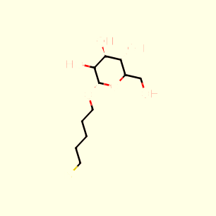 OCC1O[C@H](OCCCCCS)C(O)[C@@H](O)[C@@H]1O